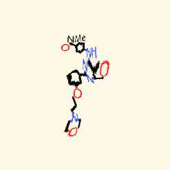 CNC(=O)c1ccc(Nc2nc(-c3cccc(OCCCN4CCOCC4)c3)nc3c2COC3)cc1